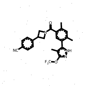 Cc1cc(C)c(-c2[nH]nc(OC(F)(F)F)c2C)cc1C(=O)N1CC(c2ccc(C#N)cc2)C1